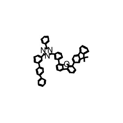 CC1(C)c2ccccc2-c2ccc(-c3cccc4c3oc3c(-c5cccc(-c6nc(-c7ccccc7)nc(-c7cccc(-c8ccc(-c9ccccc9)cc8)c7)n6)c5)cccc34)cc21